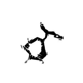 O=C(O)c1cnnnn1